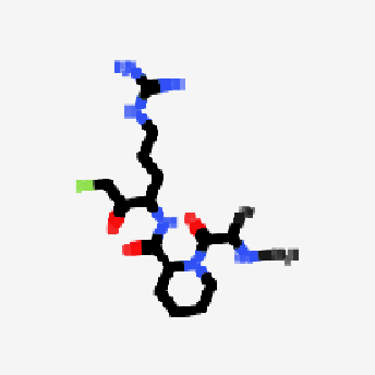 CC(C)C(NC(=O)O)C(=O)N1CCCC[C@H]1C(=O)NC(CCCNC(=N)N)C(=O)CF